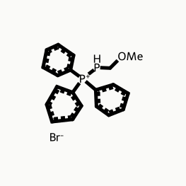 COCP[P+](c1ccccc1)(c1ccccc1)c1ccccc1.[Br-]